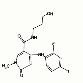 Cn1cc(C(=O)NCCCO)c(Nc2ccc(I)cc2F)cc1=O